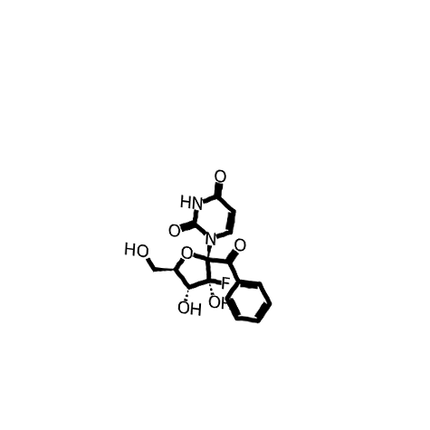 O=C(c1ccccc1)[C@@]1(n2ccc(=O)[nH]c2=O)O[C@H](CO)[C@@H](O)[C@]1(O)F